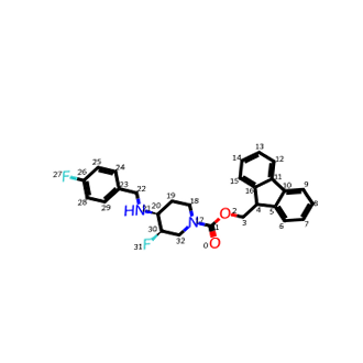 O=C(OCC1c2ccccc2-c2ccccc21)N1CC[C@H](NCc2ccc(F)cc2)[C@H](F)C1